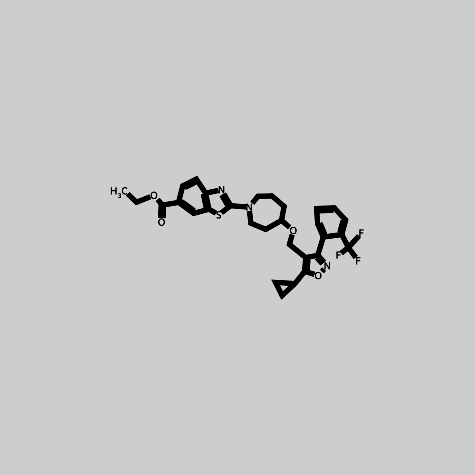 CCOC(=O)c1ccc2nc(N3CCCC(OCc4c(-c5ccccc5C(F)(F)F)noc4C4CC4)CC3)sc2c1